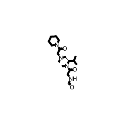 CC(C)[C@@H](CN(C)CC(=O)N1CCCCC1)N(C)C(=O)CNC=O